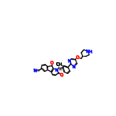 C[C@H](c1cccc(-c2ncc(OCC3CCNCC3)cn2)c1)n1c2c(ccc1=O)-c1cc(C#N)ccc1C2=O